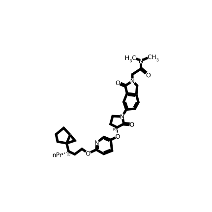 CCC[C@@H](CCOc1ccc(O[C@@H]2CCN(c3ccc4c(c3)C(=O)N(CC(=O)N(C)C)C4)C2=O)cn1)C12CCCC1C2